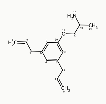 C=CCc1cc(CC=C)cc(OCC(C)N)c1